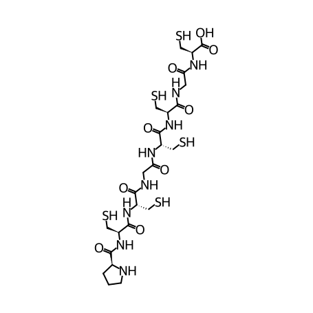 O=C(CNC(=O)[C@H](CS)NC(=O)[C@H](CS)NC(=O)CNC(=O)[C@H](CS)NC(=O)[C@H](CS)NC(=O)[C@@H]1CCCN1)N[C@@H](CS)C(=O)O